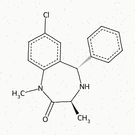 C[C@@H]1N[C@@H](c2ccccc2)c2cc(Cl)ccc2N(C)C1=O